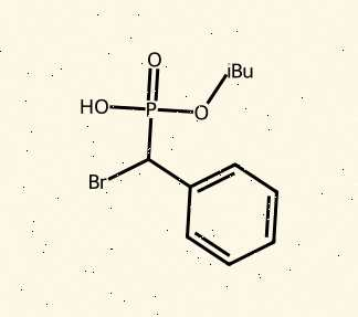 CCC(C)OP(=O)(O)C(Br)c1ccccc1